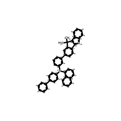 CC1(C)c2cc(-c3cccc(N(c4ccc(-c5ccccc5)cc4)c4cccc5ccccc45)c3)ccc2-c2sc3ccccc3c21